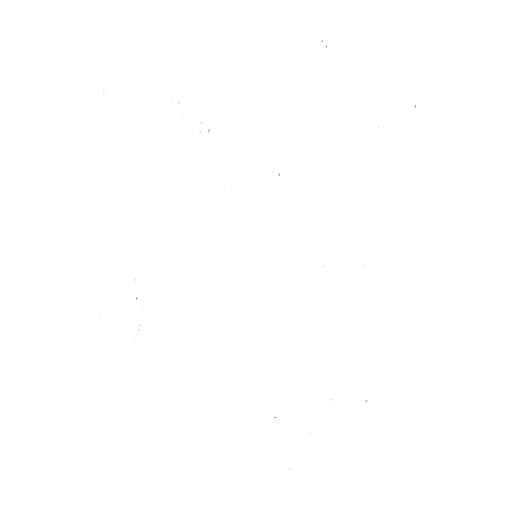 C[S+]([O-])c1ccc(C(F)(F)F)cc1-c1ccc(-c2cc(C(F)(F)F)c(C#N)c(=O)n2Cc2ccc(F)cc2F)s1.c1cc2cc-2c1